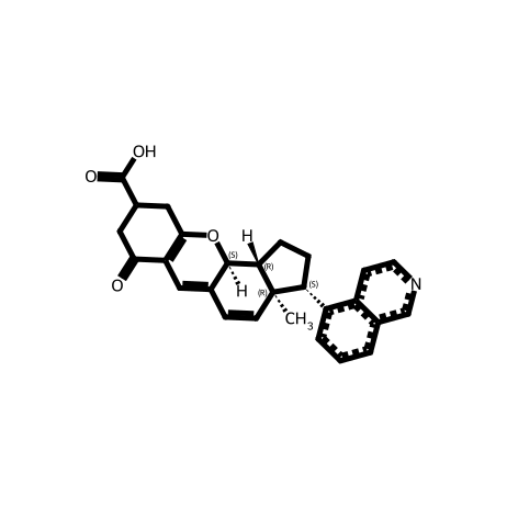 C[C@]12C=CC3=CC4=C(CC(C(=O)O)CC4=O)O[C@H]3[C@@H]1CC[C@@H]2c1cccc2cnccc12